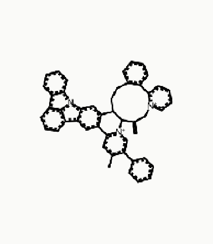 C=C1C[n+]2ccccc2-c2ccccc2CCC2c3cc4c(cc3-c3cc(C)c(-c5ccccc5)c[n+]3C12)c1cccc2c3ccccc3n4c21